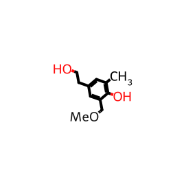 COCc1cc(CCO)cc(C)c1O